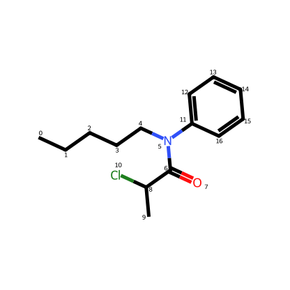 CCCCCN(C(=O)C(C)Cl)c1ccccc1